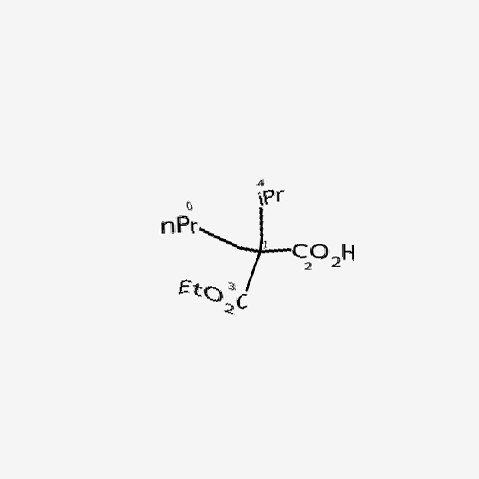 CCCC(C(=O)O)(C(=O)OCC)C(C)C